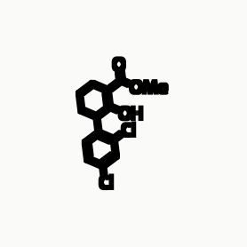 COC(=O)C1=C(O)C(c2ccc(Cl)cc2Cl)CCC1